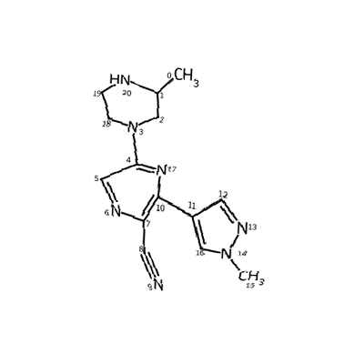 CC1CN(c2cnc(C#N)c(-c3cnn(C)c3)n2)CCN1